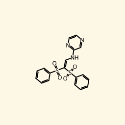 O=S(=O)(C(=CNc1cnccn1)S(=O)(=O)c1ccccc1)c1ccccc1